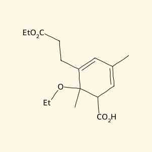 CCOC(=O)CCC1=CC(C)=CC(C(=O)O)C1(C)OCC